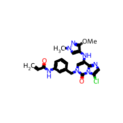 C=CC(=O)Nc1cccc(Cn2cc(Nc3cn(C)nc3OC)c3ncc(Cl)n3c2=O)c1